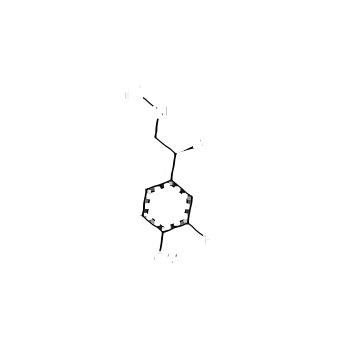 COc1ccc([C@@H](CNC(C)C)C(C)=O)cc1F